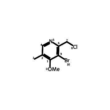 COc1c(C)cnc(CCl)c1Br